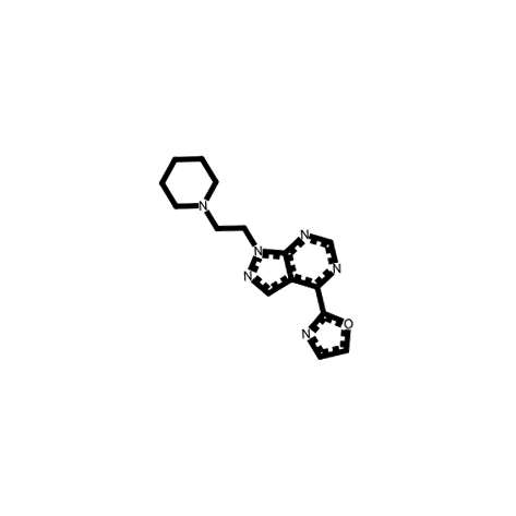 c1coc(-c2ncnc3c2cnn3CCN2CCCCC2)n1